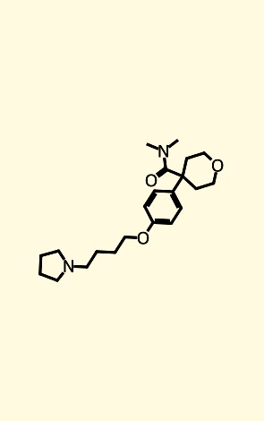 CN(C)C(=O)C1(c2ccc(OCCCCN3CCCC3)cc2)CCOCC1